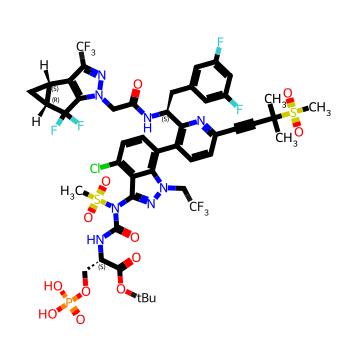 CC(C)(C)OC(=O)[C@H](COP(=O)(O)O)NC(=O)N(c1nn(CC(F)(F)F)c2c(-c3ccc(C#CC(C)(C)S(C)(=O)=O)nc3[C@H](Cc3cc(F)cc(F)c3)NC(=O)Cn3nc(C(F)(F)F)c4c3C(F)(F)[C@@H]3C[C@H]43)ccc(Cl)c12)S(C)(=O)=O